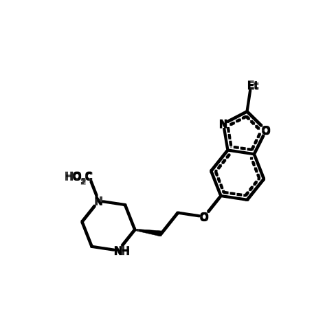 CCc1nc2cc(OCC[C@@H]3CN(C(=O)O)CCN3)ccc2o1